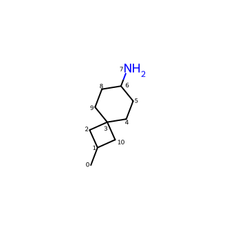 CC1CC2(CCC(N)CC2)C1